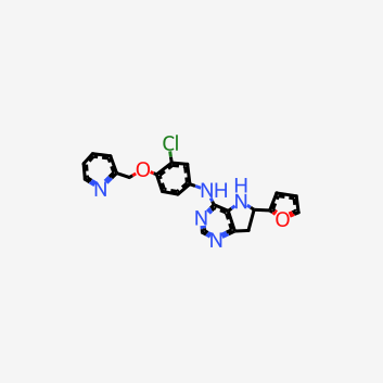 Clc1cc(Nc2ncnc3c2NC(c2ccco2)C3)ccc1OCc1ccccn1